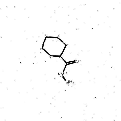 O=C(N[SiH3])C1CCCCC1